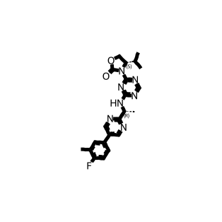 Cc1cc(-c2cnc([C@@H](C)Nc3ncnc(N4C(=O)OC[C@@H]4C(C)C)n3)nc2)ccc1F